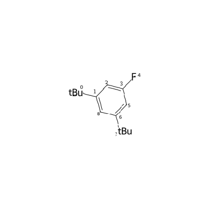 CC(C)(C)c1cc(F)cc(C(C)(C)C)c1